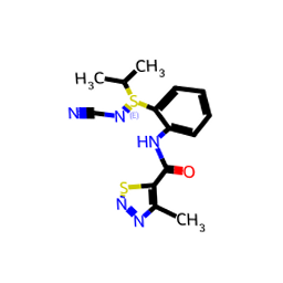 Cc1nnsc1C(=O)Nc1ccccc1/S(=N/C#N)C(C)C